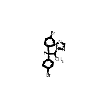 CC(n1ncnn1)C(F)(c1ccc(Br)cc1)c1ccc(Br)cc1